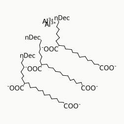 CCCCCCCCCCCCCCCCC(CCCCCCCCCCCC(=O)[O-])C(=O)[O-].CCCCCCCCCCCCCCCCC(CCCCCCCCCCCC(=O)[O-])C(=O)[O-].CCCCCCCCCCCCCCCCC(CCCCCCCCCCCC(=O)[O-])C(=O)[O-].[Al+3].[Al+3]